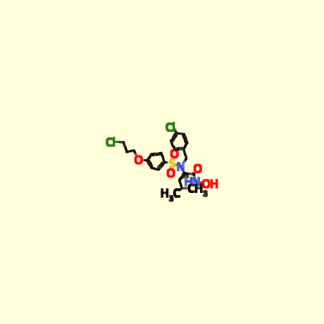 CC(C)C[C@H](C(=O)NO)N(Cc1ccc(Cl)cc1)S(=O)(=O)c1ccc(OCCCCl)cc1